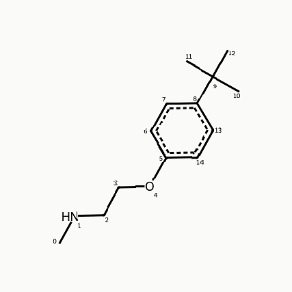 CNCCOc1ccc(C(C)(C)C)cc1